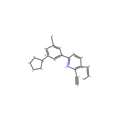 C#Cc1nc(-c2cc(C)cc(C3CCCC3)c2)ccc1/C=C\C